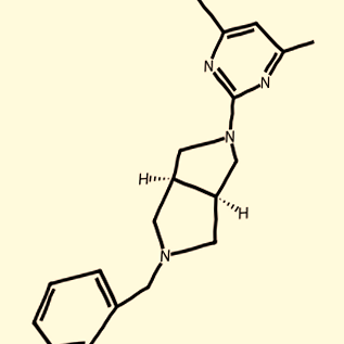 Cc1cc(C)nc(N2C[C@H]3CN(Cc4ccccc4)C[C@H]3C2)n1